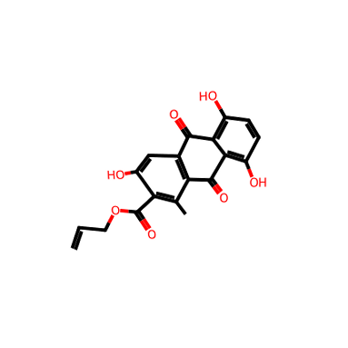 C=CCOC(=O)c1c(O)cc2c(c1C)C(=O)c1c(O)ccc(O)c1C2=O